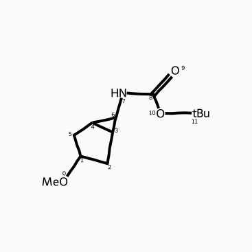 COC1CC2C(C1)C2NC(=O)OC(C)(C)C